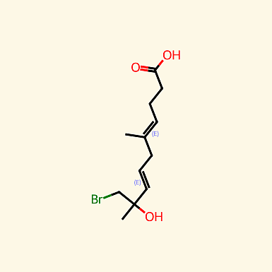 C/C(=C\CCC(=O)O)C/C=C/C(C)(O)CBr